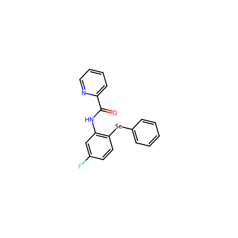 O=C(Nc1cc(F)ccc1[Se]c1ccccc1)c1ccccn1